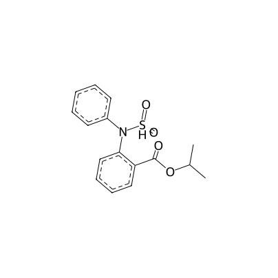 CC(C)OC(=O)c1ccccc1N(c1ccccc1)[SH](=O)=O